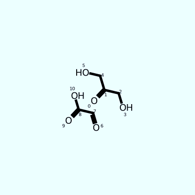 O=C(CO)CO.O=CC(=O)O